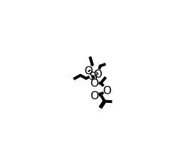 C=C(C)C(=O)OC(C)O[Si](CCC)(OCC)OCC